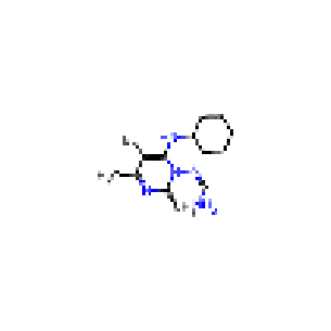 C=C1N=C(C)C(CC)=C(NC2CCCCC2)N1/N=C\N